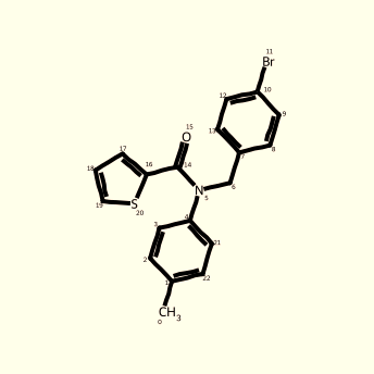 Cc1ccc(N(Cc2ccc(Br)cc2)C(=O)c2cccs2)cc1